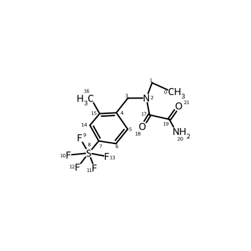 CCN(Cc1ccc(S(F)(F)(F)(F)F)cc1C)C(=O)C(N)=O